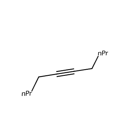 [CH2]CCCC#CCCCC